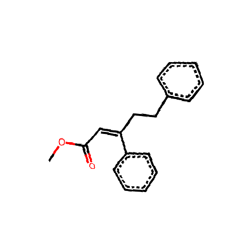 COC(=O)C=C(CCc1ccccc1)c1ccccc1